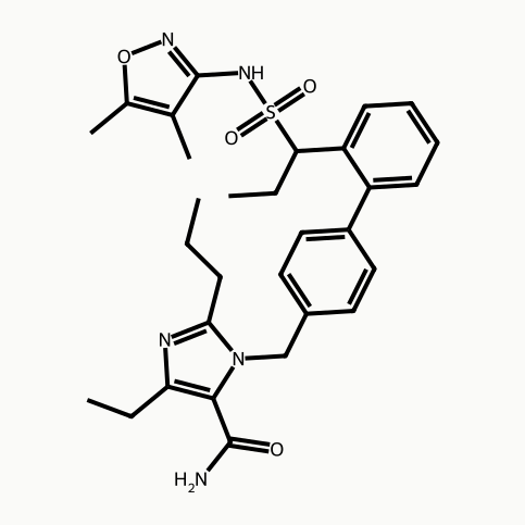 CCCc1nc(CC)c(C(N)=O)n1Cc1ccc(-c2ccccc2C(CC)S(=O)(=O)Nc2noc(C)c2C)cc1